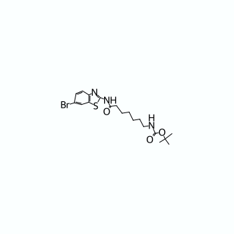 CC(C)(C)OC(=O)NCCCCCCC(=O)Nc1nc2ccc(Br)cc2s1